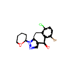 O=C1c2cnn(C3CCCCO3)c2Cc2c(Cl)ccc(Br)c21